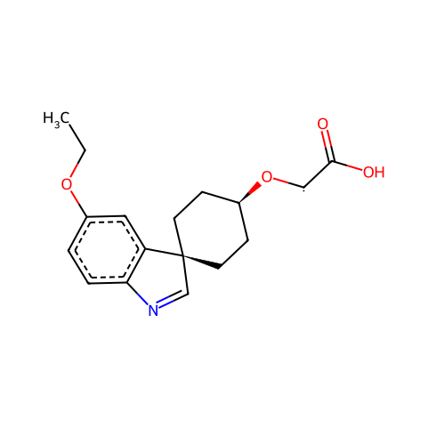 CCOc1ccc2c(c1)[C@]1(C=N2)CC[C@H](O[CH]C(=O)O)CC1